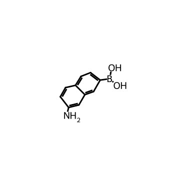 Nc1ccc2ccc(B(O)O)cc2c1